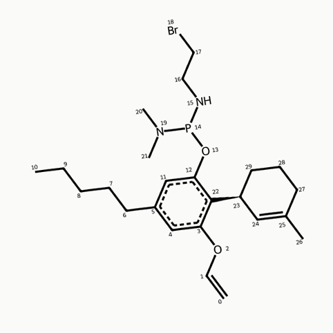 C=COc1cc(CCCCC)cc(OP(NCCBr)N(C)C)c1[C@@H]1C=C(C)CCC1